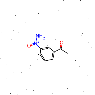 CC(=O)c1cc[c]c([N+](N)=O)c1